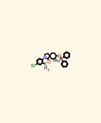 Cc1cc(Br)ccc1N1CCC2(CCC(O[Si](c3ccccc3)(c3ccccc3)C(C)(C)C)CC2)C1=O